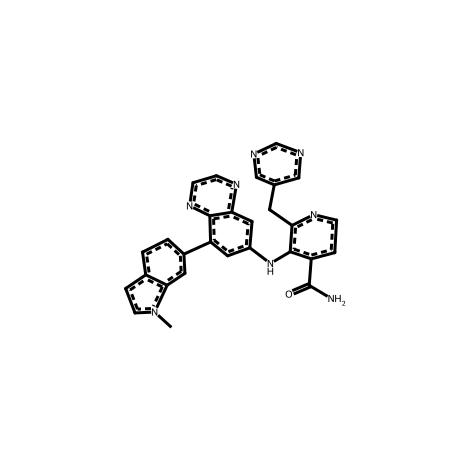 Cn1ccc2ccc(-c3cc(Nc4c(C(N)=O)ccnc4Cc4cncnc4)cc4nccnc34)cc21